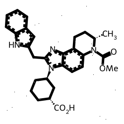 COC(=O)N1c2ccc3c(nc(Cc4cc5ccccc5[nH]4)n3[C@@H]3CCC[C@@H](C(=O)O)C3)c2CC[C@@H]1C